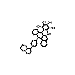 Oc1c(O)c(O)c(-c2c3ccccc3c(-c3ccc(-c4cccc5ccccc45)cc3)c3c2ccc2ccccc23)c(O)c1O